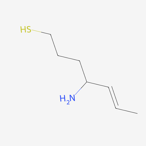 CC=CC(N)CCCS